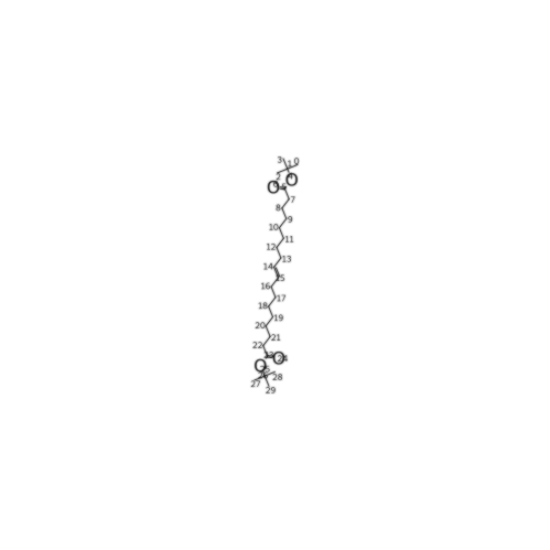 CC(C)(C)OC(=O)CCCCCCCC=CCCCCCCCC(=O)OC(C)(C)C